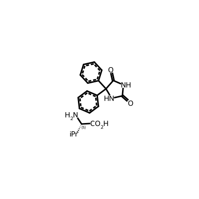 CC(C)[C@H](N)C(=O)O.O=C1NC(=O)C(c2ccccc2)(c2ccccc2)N1